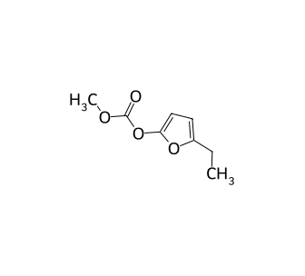 CCc1ccc(OC(=O)OC)o1